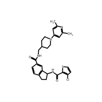 Cc1cc(N2CCC(CNC(=O)c3ccc4c(c3)C(NC(=O)c3sccc3Cl)CC4)CC2)cc(C)n1